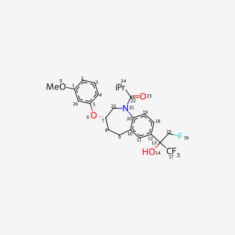 COc1cccc(O[C@H]2CCc3cc(C(O)(CF)C(F)(F)F)ccc3N(C(=O)C(C)C)C2)c1